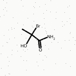 CC(O)(Br)C(N)=O